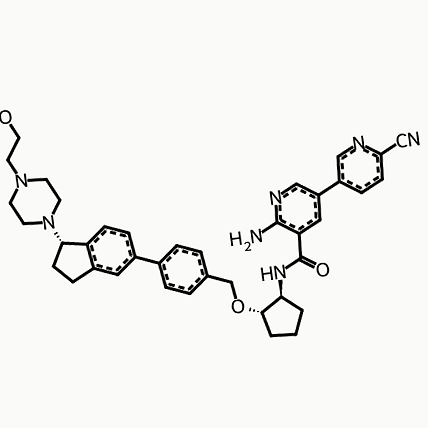 N#Cc1ccc(-c2cnc(N)c(C(=O)N[C@H]3CCC[C@@H]3OCc3ccc(-c4ccc5c(c4)CC[C@@H]5N4CCN(CCO)CC4)cc3)c2)cn1